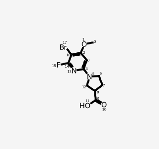 COc1cc(N2CCC(C(=O)O)C2)nc(F)c1Br